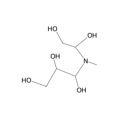 CN(C(O)CO)C(O)C(O)CO